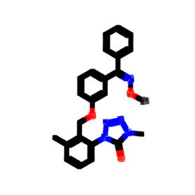 CCON=C(c1ccccc1)c1cccc(OCc2c(C)cccc2-n2nnn(C)c2=O)c1